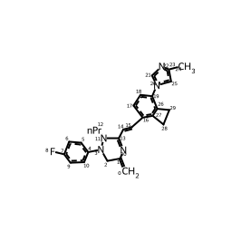 C=C1CN(c2ccc(F)cc2)N(CCC)C(/C=C/c2ccc(-n3cnc(C)c3)c3c2CC3)=N1